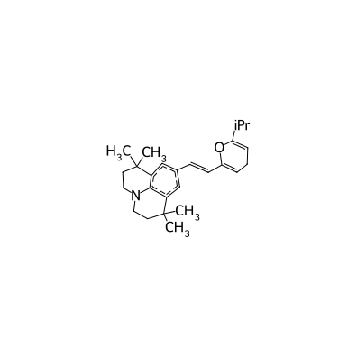 CC(C)C1=CCC=C(C=Cc2cc3c4c(c2)C(C)(C)CCN4CCC3(C)C)O1